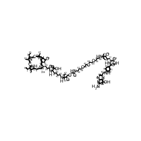 C=Cc1c(C)c2cc3nc(c4c5[nH]c(cc6nc(cc1[nH]2)C(C)=C6CC)c(C)c5C(=O)C4)[C@@H](CCC(=O)NC(CCCCNC(C)(CC)C(=O)COCC(=O)NCCCOCCOCCOCCCNC(C)(CC)C(=O)CC[C@H](NC(=O)c1ccc(NCc2cnc4nc(N)nc(O)c4n2)cc1)C(=O)O)C(=O)O)[C@@H]3C